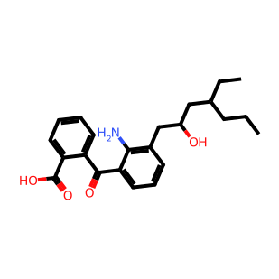 CCCC(CC)CC(O)Cc1cccc(C(=O)c2ccccc2C(=O)O)c1N